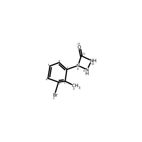 Cc1c(Br)cccc1-n1[nH][nH]c1=O